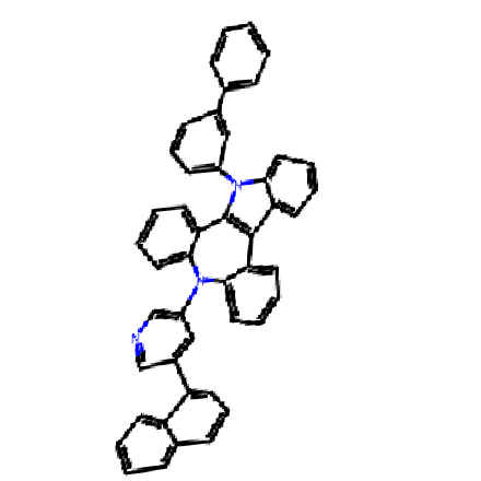 c1ccc(-c2cccc(-n3c4c(c5ccccc53)-c3ccccc3N(c3cncc(-c5cccc6ccccc56)c3)c3ccccc3-4)c2)cc1